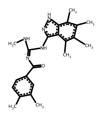 CN/C(=N/C(=O)c1ccc(C)c(C)c1)Nc1n[nH]c2c(C)c(C)c(C)c(C)c12